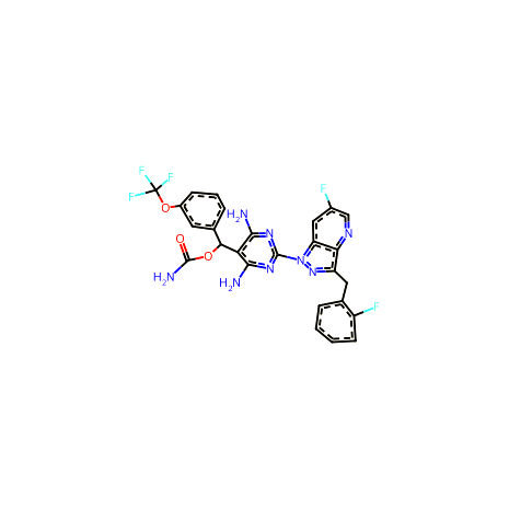 NC(=O)OC(c1cccc(OC(F)(F)F)c1)c1c(N)nc(-n2nc(Cc3ccccc3F)c3ncc(F)cc32)nc1N